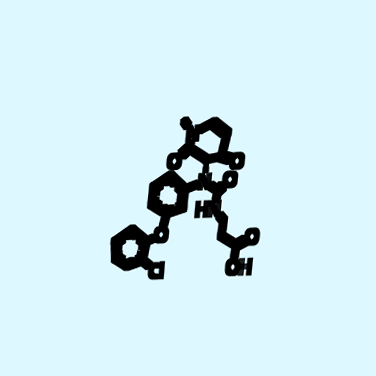 CN1C=CC(=O)[C@H](N(C(=O)NCCC(=O)O)c2cccc(Oc3ccccc3Cl)c2)C1=O